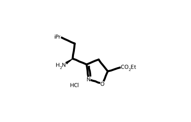 CCOC(=O)C1CC([C@@H](N)CC(C)C)=NO1.Cl